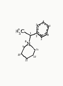 CC(c1ccccc1)N1CCCCC1